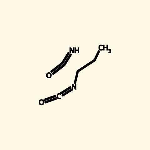 CCCN=C=O.N=C=O